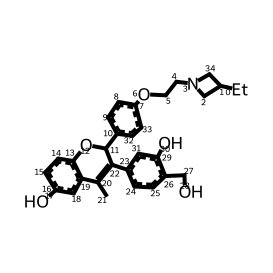 CCC1CN(CCOc2ccc(C3Oc4ccc(O)cc4C(C)=C3c3ccc(CO)c(O)c3)cc2)C1